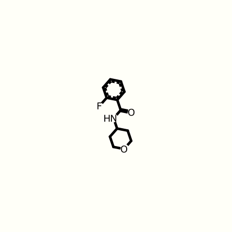 O=C(NC1CCOCC1)c1ccccc1F